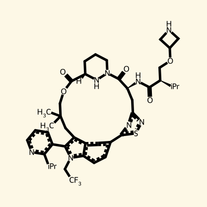 CC(C)c1ncccc1-c1c2c3cc(ccc3n1CC(F)(F)F)-c1nc(ns1)C[C@H](NC(=O)[C@@H](COC1CNC1)C(C)C)C(=O)N1CCC[C@H](N1)C(=O)OCC(C)(C)C2